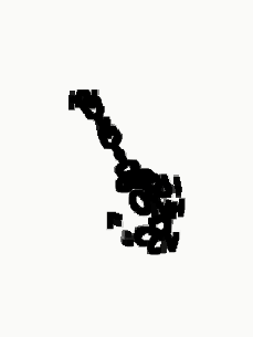 CC(O)(CS(=O)(=O)c1ccc(C#CC2CCN(C3CCNCC3)CC2)cc1)C(=O)Nc1ccc(C#N)c(C(F)(F)F)c1